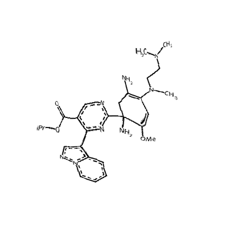 COC1=CC(N(C)CCN(C)C)=C(N)CC1(N)c1ncc(C(=O)OC(C)C)c(-c2cnn3ccccc23)n1